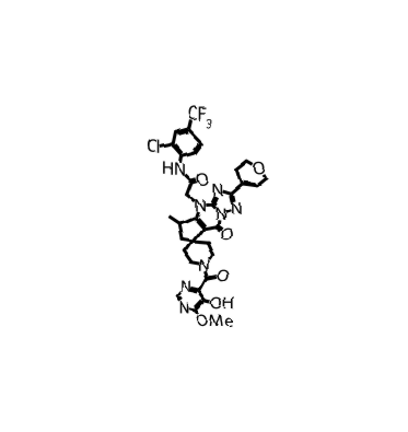 COc1ncnc(C(=O)N2CCC3(CC2)CC(C)c2c3c(=O)n3nc(C4=CCOCC4)nc3n2CC(=O)Nc2ccc(C(F)(F)F)cc2Cl)c1O